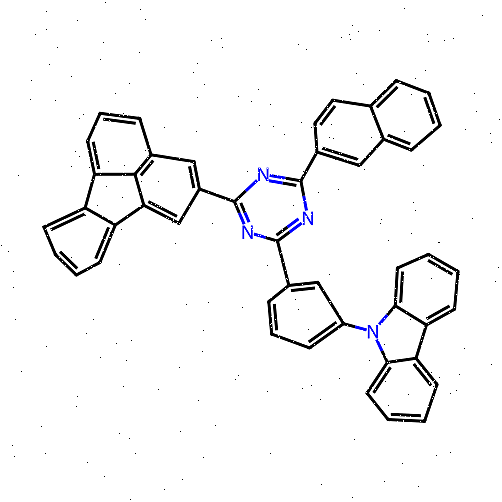 c1cc(-c2nc(-c3ccc4ccccc4c3)nc(-c3cc4c5c(cccc5c3)-c3ccccc3-4)n2)cc(-n2c3ccccc3c3ccccc32)c1